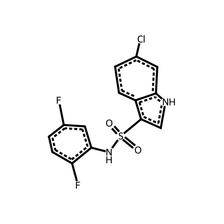 O=S(=O)(Nc1cc(F)ccc1F)c1c[nH]c2cc(Cl)ccc12